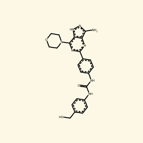 Nc1n[nH]c2c(N3CCOCC3)nc(-c3ccc(NC(=O)Nc4ccc(CO)cc4)cc3)nc12